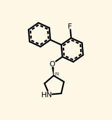 Fc1cccc(O[C@H]2CCNC2)c1-c1ccccc1